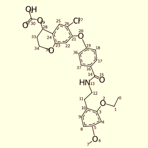 CCOc1cc(OC)ccc1CCNC(=O)c1ccc(Oc2cc3c(cc2Cl)C(OC(=O)O)CCO3)cc1